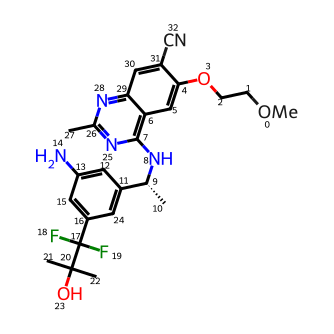 COCCOc1cc2c(N[C@H](C)c3cc(N)cc(C(F)(F)C(C)(C)O)c3)nc(C)nc2cc1C#N